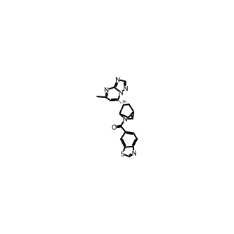 Cc1cc([C@@H]2CC3=CN(C(=O)c4ccc5ncsc5c4)C2C3)n2ncnc2n1